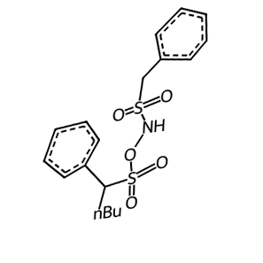 CCCCC(c1ccccc1)S(=O)(=O)ONS(=O)(=O)Cc1ccccc1